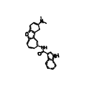 CN(C)C1=CC=c2oc3c(c2C1)C=C(NC(=O)c1c[nH]c2ccccc12)C=CC=3